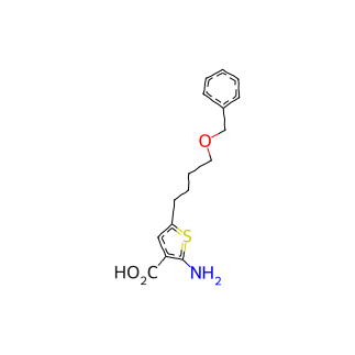 Nc1sc(CCCCOCc2ccccc2)cc1C(=O)O